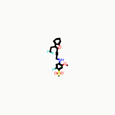 COc1cc(S(C)(=O)=O)c(F)cc1NCC#Cc1oc2ccccc2c1CC(F)F